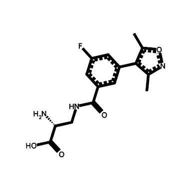 Cc1noc(C)c1-c1cc(F)cc(C(=O)NC[C@@H](N)C(=O)O)c1